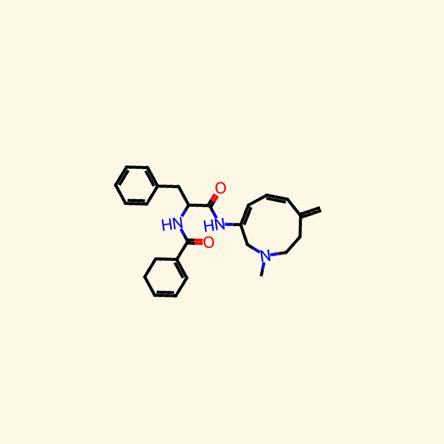 C=C1/C=C\C=C(\NC(=O)C(Cc2ccccc2)NC(=O)C2=CC=CCC2)CN(C)CC1